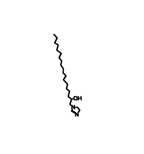 CCCCCCCCCCCCCCCCCC(O)CN1C=NCC1